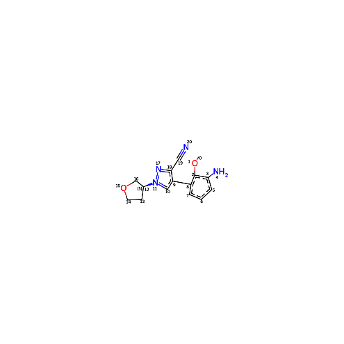 COc1c(N)cccc1-c1cn([C@H]2CCOC2)nc1C#N